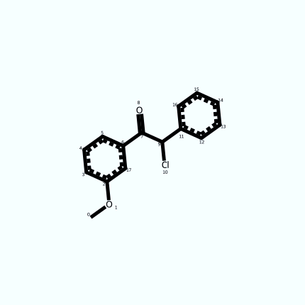 COc1cccc(C(=O)C(Cl)c2ccccc2)c1